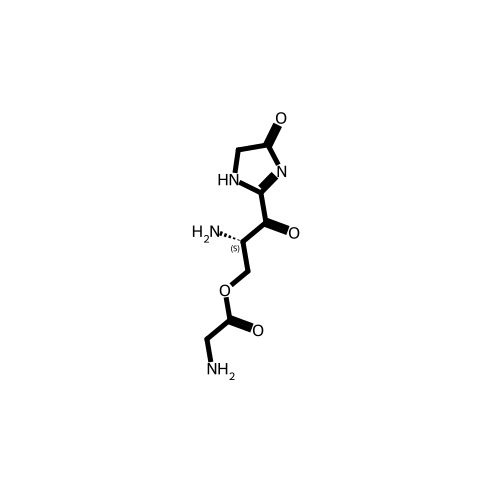 NCC(=O)OC[C@H](N)C(=O)C1=NC(=O)CN1